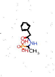 CC(NC(=O)Cc1ccccc1)P(=O)(O)O